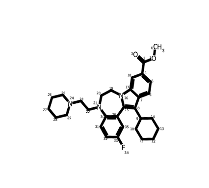 COC(=O)c1ccc2c(C3CCCCC3)c3n(c2c1)CCN(CCN1CCCCC1)c1ccc(F)cc1-3